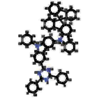 c1ccc(-c2nc(-c3ccccc3)nc(-c3ccc4c(c3)c3cc(-n5c6ccccc6c6ccc7c(c65)-c5ccccc5C75c6ccccc6-c6ccccc65)ccc3n4-c3ccccc3)n2)cc1